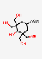 CCCCCCCCC1CC(CO)(CO)C(O)C(CO)(CO)C1